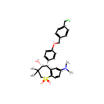 CCCCC1(CCCC)CS(=O)(=O)c2ccc(N(C)C)cc2[C@@H](c2ccc(OCc3ccc(CCl)cc3)cc2)[C@H]1O